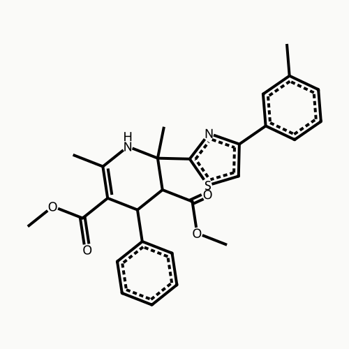 COC(=O)C1=C(C)NC(C)(c2nc(-c3cccc(C)c3)cs2)C(C(=O)OC)C1c1ccccc1